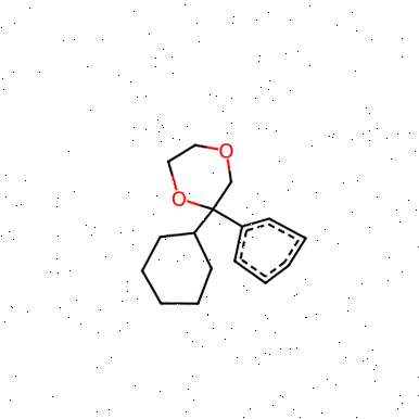 c1ccc(C2(C3CCCCC3)COCCO2)cc1